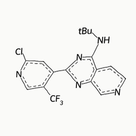 CC(C)(C)Nc1nc(-c2cc(Cl)ncc2C(F)(F)F)nc2cnccc12